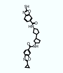 O=C(NC1CCC(C2CCC(NC(=O)c3ccc4nc(C5CC5)oc4c3)C2)C1)c1ccc2nc(S)oc2c1